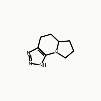 C1CC2CCc3nn[nH]c3N2C1